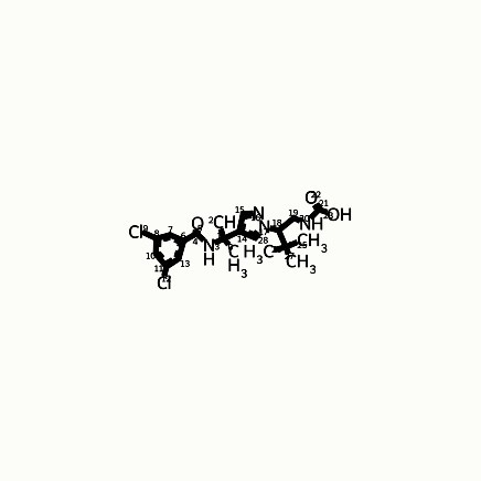 CC(C)(NC(=O)c1cc(Cl)cc(Cl)c1)c1cnn(C(CNC(=O)O)C(C)(C)C)c1